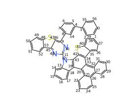 c1ccc(-c2cccc(-c3nc(-n4c5ccccc5c5c6c7ccccc7c7ccccc7c6c6c7ccccc7sc6c54)nc4c3sc3ccccc34)c2)cc1